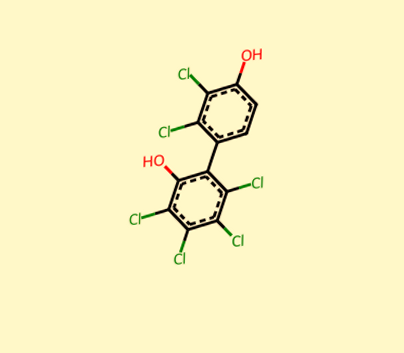 Oc1ccc(-c2c(O)c(Cl)c(Cl)c(Cl)c2Cl)c(Cl)c1Cl